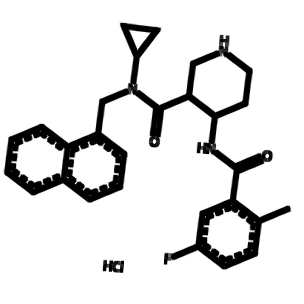 Cc1ccc(F)cc1C(=O)NC1CCNCC1C(=O)N(Cc1cccc2ccccc12)C1CC1.Cl